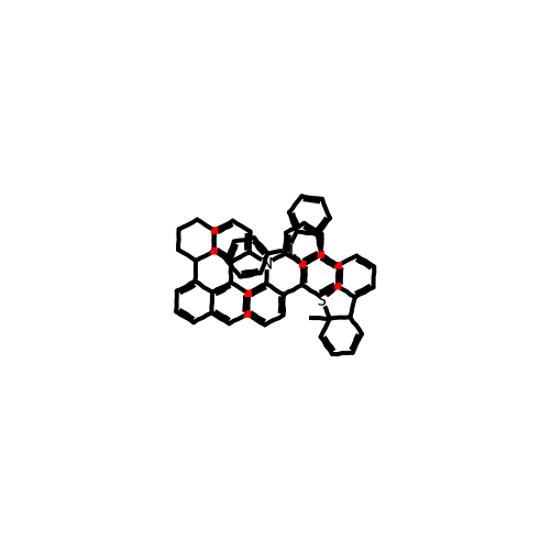 CC12C=CC=CC1c1cccc(-c3cccc(N(c4ccccc4-c4cccc5cccc(C6CCCCC6)c45)c4ccccc4-c4cccc5c6ccccc6n(-c6ccccc6)c45)c3)c1S2